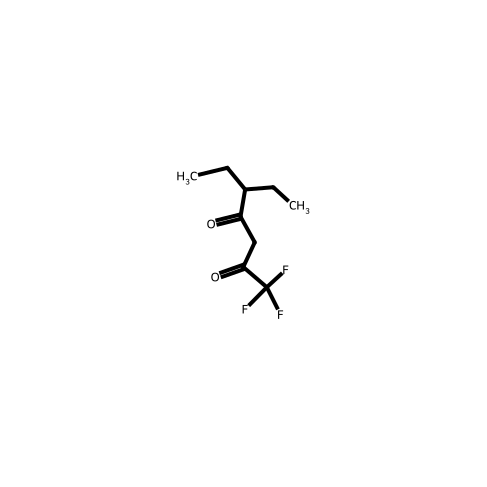 CCC(CC)C(=O)CC(=O)C(F)(F)F